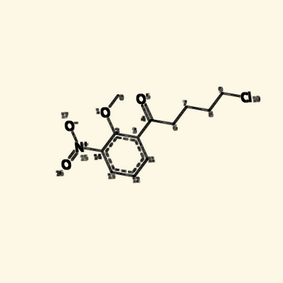 COc1c(C(=O)CCCCCl)cccc1[N+](=O)[O-]